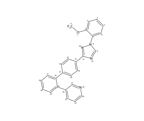 FC(F)(F)Oc1ccccc1-n1cnc(-c2ccc(-c3ccccc3-c3cccnc3)cc2)n1